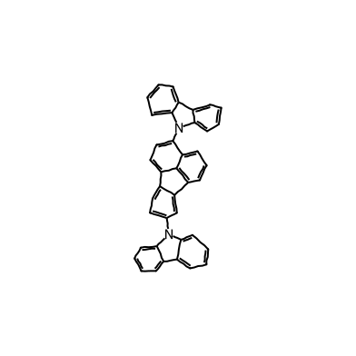 c1cc2c3c(ccc(-n4c5ccccc5c5ccccc54)c3c1)-c1ccc(-n3c4ccccc4c4ccccc43)cc1-2